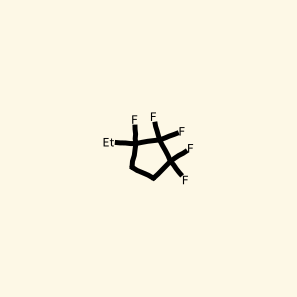 CCC1(F)CCC(F)(F)C1(F)F